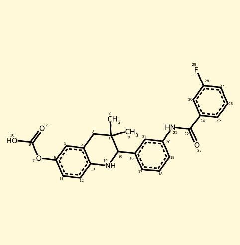 CC1(C)Cc2cc(OC(=O)O)ccc2NC1c1cccc(NC(=O)c2cccc(F)c2)c1